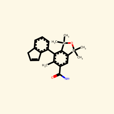 Cc1c(C([NH])=O)cc2c(c1-c1cccc3c1C=CC3)[Si](C)(C)O[Si]2(C)C